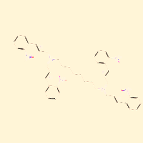 O=[N+]([O-])c1ccccc1/C=C/CN(C/C=C/c1ccccc1[N+](=O)[O-])CCCCCCCCN(C/C=C/c1ccccc1[N+](=O)[O-])C/C=C/c1ccccc1[N+](=O)[O-]